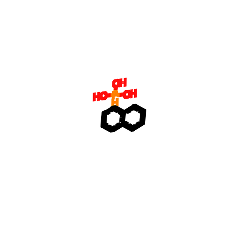 O[PH](O)(O)c1cccc2ccccc12